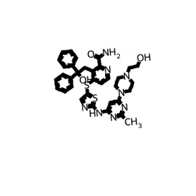 Cc1nc(Nc2ncc(Sc3ccnc(C(N)=O)c3CC(O)(c3ccccc3)c3ccccc3)s2)cc(N2CCN(CCO)CC2)n1